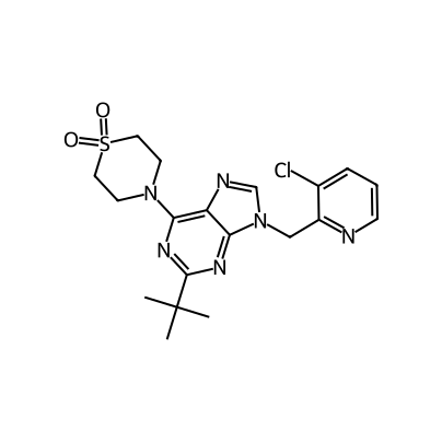 CC(C)(C)c1nc(N2CCS(=O)(=O)CC2)c2ncn(Cc3ncccc3Cl)c2n1